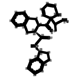 CC(N)C1(C(=O)N2Cc3ccccc3C[C@H]2C(=O)N[C@@H]2CCc3ccccc32)C=CC=CN1